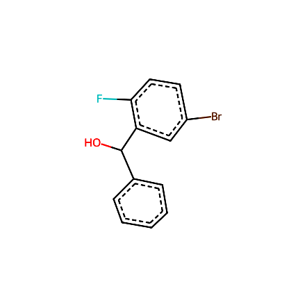 OC(c1ccccc1)c1cc(Br)ccc1F